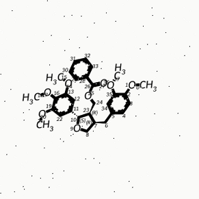 COc1ccc(C[C@H]2CO[C@H](c3cc(OC)c(OC)c(OC)c3)[C@H]2COC(=O)c2ccccc2)cc1OC